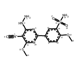 [C-]#[N+]c1c(NN)nc(-c2ccc(OC)c(S(N)(=O)=O)c2)nc1SC